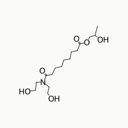 CC(O)COC(=O)CCCCCCCC(=O)N(CCO)CCO